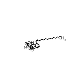 CCCCCCCCCCC/C=C\c1ccccc1C=C(P(=O)(O)O)P(=O)(O)O